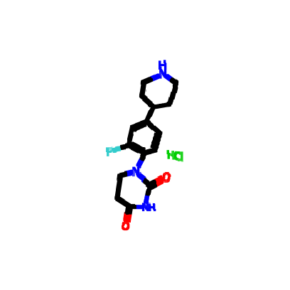 Cl.O=C1CCN(c2ccc(C3CCNCC3)cc2F)C(=O)N1